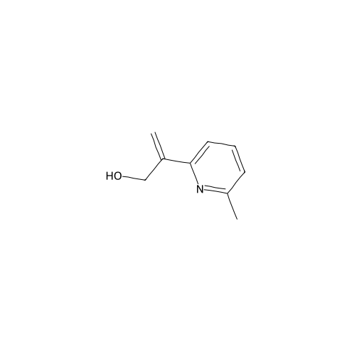 C=C(CO)c1cccc(C)n1